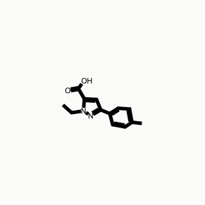 CCn1nc(-c2ccc(C)cc2)cc1C(=O)O